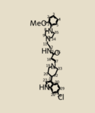 COc1ccccc1N1CCN(CCNC(=O)/C=C/N2CCC(c3c[nH]c4cc(Cl)ccc34)CC2)CC1